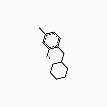 Cc1ccc(CC2CCCCC2)c(C#N)c1